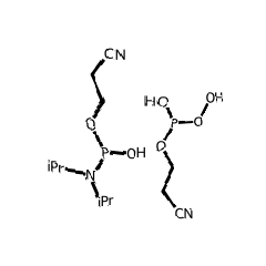 CC(C)N(C(C)C)P(O)OCCC#N.N#CCCOP(O)OO